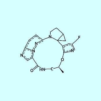 C[C@H]1CNC(=O)c2cnc3ccc(nn23)N2CCC3CC32c2cc(F)cnc2O1